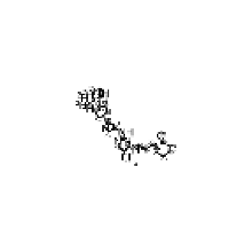 [2H]C([2H])([2H])C([2H])(N1CCC(n2cc(Nc3ncc(C(F)(F)F)c(NCCCN4CCCCC4=O)n3)cn2)CC1)C([2H])([2H])[2H]